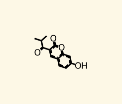 CC(C)C(=O)c1cc2ccc(O)cc2oc1=O